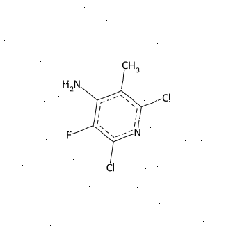 Cc1c(Cl)nc(Cl)c(F)c1N